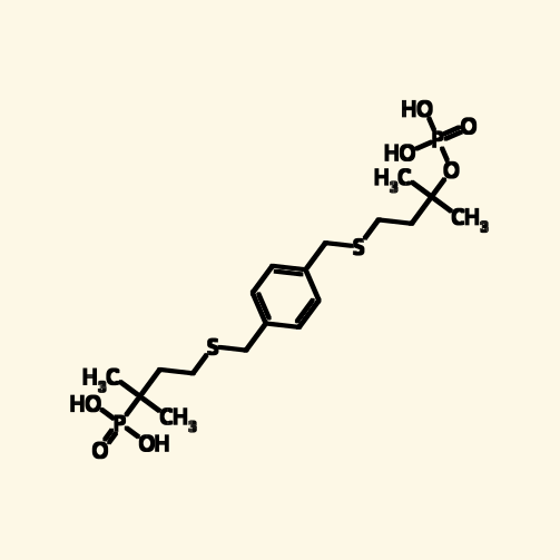 CC(C)(CCSCc1ccc(CSCCC(C)(C)P(=O)(O)O)cc1)OP(=O)(O)O